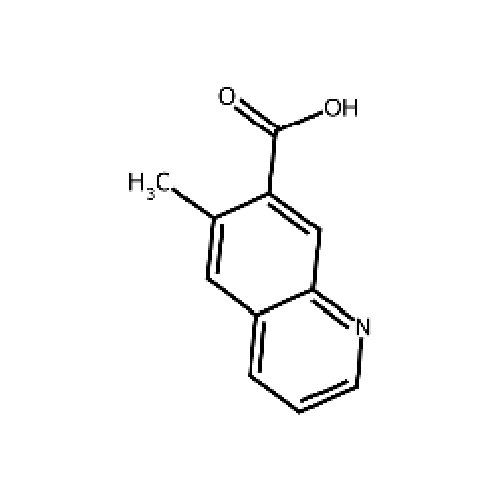 Cc1cc2cccnc2cc1C(=O)O